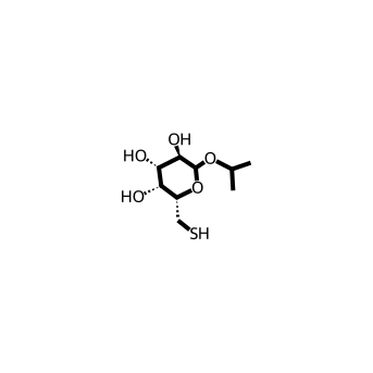 CC(C)OC1O[C@H](CS)[C@H](O)[C@H](O)[C@H]1O